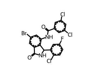 O=C(Nc1cc(Br)cc2c1C(c1cc(F)ccc1Cl)NC2=O)c1cc(Cl)cc(Cl)c1